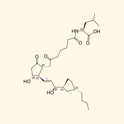 CCCC[C@H]1CC[C@H]([C@@H](O)/C=C/[C@H]2[C@H](O)CC(=O)[C@@H]2CC(=O)CCCCC(=O)N[C@@H](CC(C)C)C(=O)O)C1